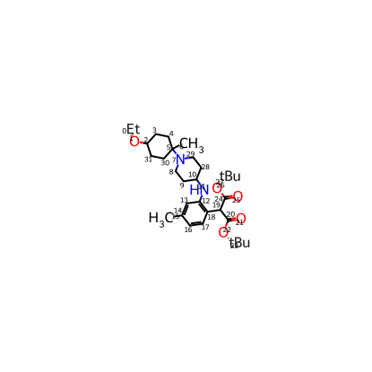 CCOC1CCC(C)(N2CCC(Nc3cc(C)ccc3C(C(=O)OC(C)(C)C)C(=O)OC(C)(C)C)CC2)CC1